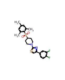 Cc1cc(C)c(S(=O)(=O)C2CCN(c3nc(-c4ccc(F)c(F)c4)cs3)CC2)c(C)c1